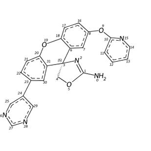 NC1=N[C@]2(CO1)c1cc(Oc3ccccn3)ccc1Oc1ccc(-c3cncnc3)cc12